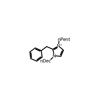 CCCCCCCCCCn1cc[n+](CCCCC)c1Cc1ccccc1